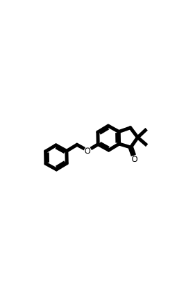 CC1(C)Cc2ccc(OCc3ccccc3)cc2C1=O